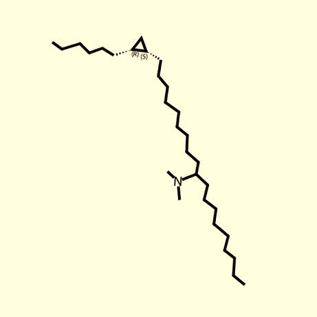 CCCCCCCCCC(CCCCCCCCC[C@H]1C[C@H]1CCCCCC)N(C)C